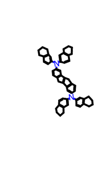 c1cc2c(cc1N(c1ccc3c(c1)CCCC3)c1ccc3c(c1)C1=C(C3)c3cc(N(c4ccc5c(c4)CCCC5)c4ccc5c(c4)CCCC5)ccc3C1)CCCC2